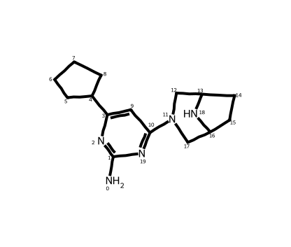 Nc1nc(C2CCCC2)cc(N2CC3CCC(C2)N3)n1